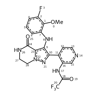 COc1c(F)cccc1Nc1c(-c2ccncc2NC(=O)C(F)(F)F)nn2c1C(=O)NCC2